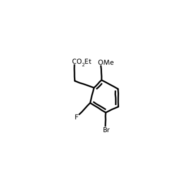 CCOC(=O)Cc1c(OC)ccc(Br)c1F